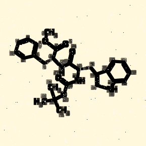 COC(=O)[C@@H](Cc1ccccc1)NC(=O)[C@H](Cc1c[nH]c2ccccc12)NC(=O)OC(C)(C)C